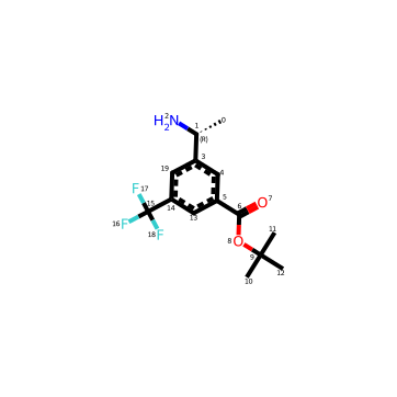 C[C@@H](N)c1cc(C(=O)OC(C)(C)C)cc(C(F)(F)F)c1